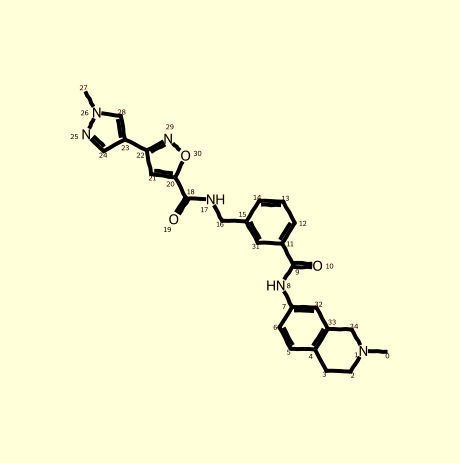 CN1CCc2ccc(NC(=O)c3cccc(CNC(=O)c4cc(-c5cnn(C)c5)no4)c3)cc2C1